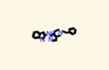 c1ccc(CCN2CCc3c(ccnc3Nc3cnc4ccccc4c3)C2)cc1